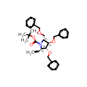 C=C[C@@H]1[C@@H](OCc2ccccc2)[C@H](OCc2ccccc2)[C@@H](COCc2ccccc2)N1C(=O)OC(C)(C)C